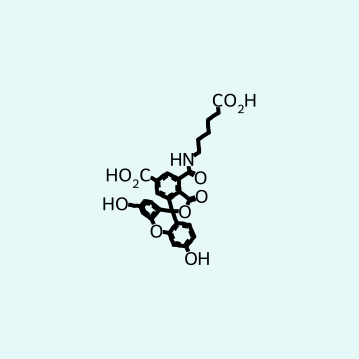 O=C(O)CCCCCNC(=O)c1cc(C(=O)O)cc2c1C(=O)OC21c2ccc(O)cc2Oc2cc(O)ccc21